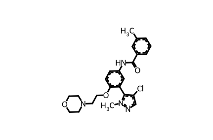 Cc1cccc(C(=O)Nc2ccc(OCCN3CCOCC3)c(-c3c(Cl)cnn3C)c2)c1